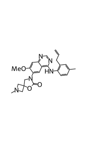 C=CCc1cc(C)ccc1Nc1ncnc2cc(OC)c(N3CC4(CN(C)C4)OC3=O)cc12